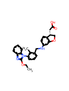 CCOc1nc2ccccc2n1-c1cccc(CNc2ccc3c(c2)OC[C@H]3CC(=O)O)c1C